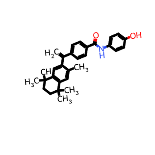 C=C(c1ccc(C(=O)Nc2ccc(O)cc2)cc1)c1cc2c(cc1C)C(C)(C)CCC2(C)C